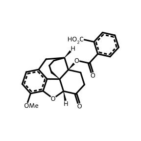 COc1ccc2c3c1O[C@H]1C(=O)CC[C@@]4(OC(=O)c5ccccc5C(=O)O)[C@H](CCC[C@]314)C2